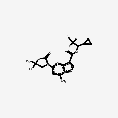 Cc1cc(N2CC(C)(C)OC2=O)nc2c(C(=O)NC(C3CC3)C(F)(F)F)cnn12